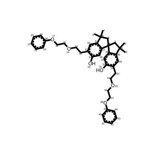 CC1(C)CC2(CC(C)(C)c3cc(CCOCCOc4ccccc4)c(O)cc32)c2cc(O)c(CCOCCOc3ccccc3)cc21